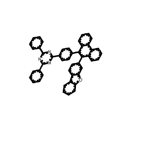 c1ccc(-c2nc(-c3ccccc3)nc(-c3ccc(-c4c(-c5ccc6c(c5)oc5ccccc56)c5ccccc5c5ccccc45)cc3)n2)cc1